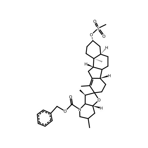 CC1=C2C[C@H]3C(CC[C@@H]4C[C@@H](OS(C)(=O)=O)CC[C@@]43C)[C@@H]2CCC12O[C@@H]1CC(C)CN(C(=O)OCc3ccccc3)C1[C@H]2C